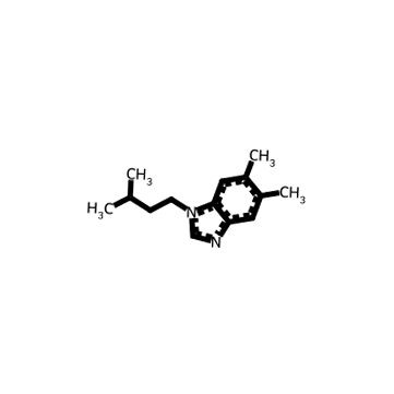 Cc1cc2ncn(CCC(C)C)c2cc1C